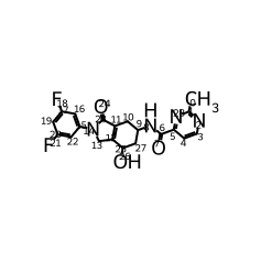 Cc1nccc(C(=O)NC2CC3=C(CN(c4cc(F)cc(F)c4)C3=O)C(O)C2)n1